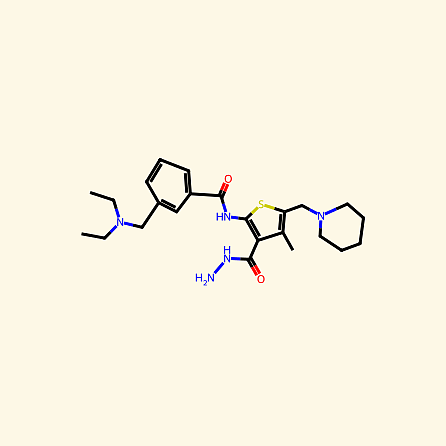 CCN(CC)Cc1cccc(C(=O)Nc2sc(CN3CCCCC3)c(C)c2C(=O)NN)c1